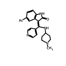 CC(=O)c1ccc2c(c1)/C(=C(/NC1CCN(C)CC1)c1ccncc1)C(=O)N2